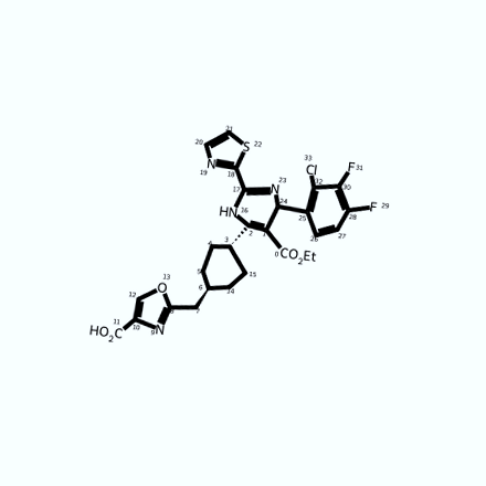 CCOC(=O)C1=C([C@H]2CC[C@H](Cc3nc(C(=O)O)co3)CC2)NC(c2nccs2)=NC1c1ccc(F)c(F)c1Cl